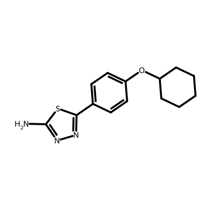 Nc1nnc(-c2ccc(OC3CCCCC3)cc2)s1